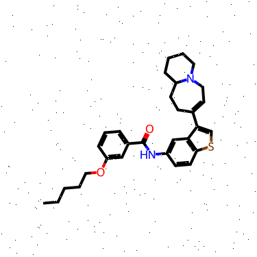 CCCCCOc1cccc(C(=O)Nc2ccc3scc(C4=CCN5CCCCC5CC4)c3c2)c1